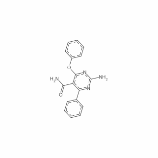 NC(=O)c1c(Oc2ccccc2)nc(N)nc1-c1ccccc1